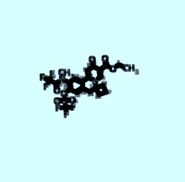 CCOC(=O)c1cn2c(cc1=O)-c1cc(N(C)C(=O)C(F)(F)F)c(OS(=O)(=O)C(F)(F)F)cc1CC21CCC1